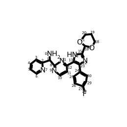 NC(c1ccccn1)c1nccc(-c2[nH]c(C3OCCCO3)nc2-c2ccc(F)cc2)n1